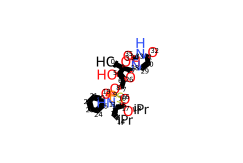 C#C[C@@]1(O)C(O)=C(COP(=S)(NC(CC(C)C)C(=O)OC(C)C)Oc2ccccc2)O[C@H]1n1ccc(=O)[nH]c1=O